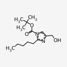 CCCCCc1nc(CO)cn1C(=O)OC(C)(C)C